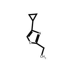 C[CH]c1nc(C2CC2)co1